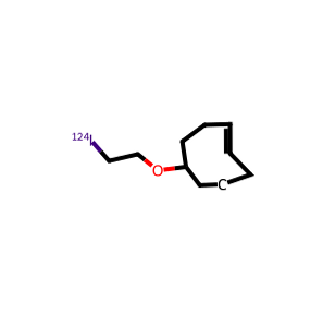 [124I]CCOC1CC/C=C/CCC1